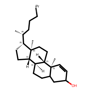 CC(C)CCC[C@@H](C)[C@H]1CC[C@H]2[C@@H]3CCC4CC(O)C=C[C@]4(C)[C@H]3CC[C@]12C